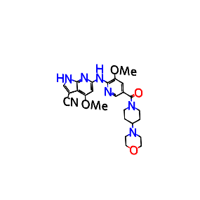 COc1cc(C(=O)N2CCC(N3CCOCC3)CC2)cnc1Nc1cc(OC)c2c(C#N)c[nH]c2n1